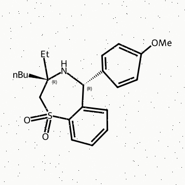 CCCC[C@]1(CC)CS(=O)(=O)c2ccccc2[C@@H](c2ccc(OC)cc2)N1